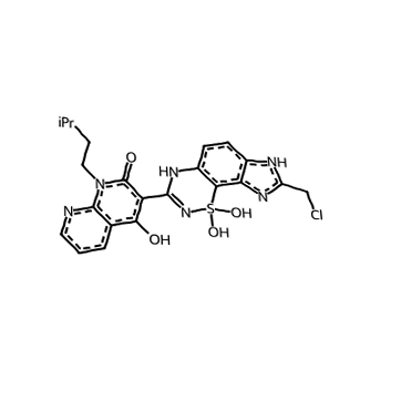 CC(C)CCn1c(=O)c(C2=NS(O)(O)c3c(ccc4[nH]c(CCl)nc34)N2)c(O)c2cccnc21